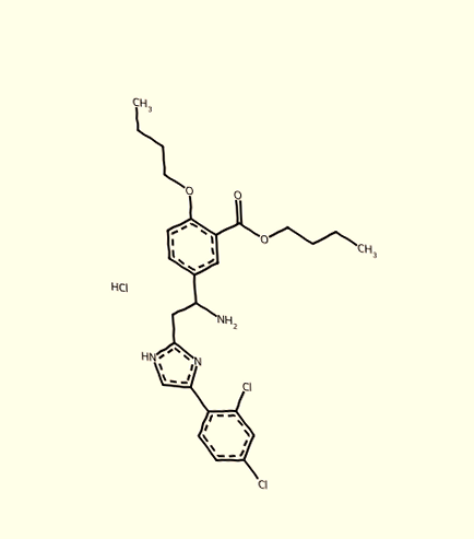 CCCCOC(=O)c1cc(C(N)Cc2nc(-c3ccc(Cl)cc3Cl)c[nH]2)ccc1OCCCC.Cl